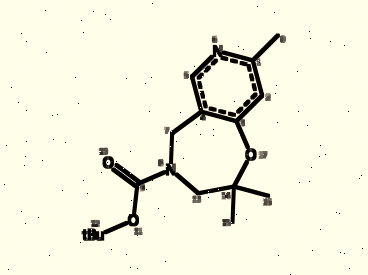 Cc1cc2c(cn1)CN(C(=O)OC(C)(C)C)CC(C)(C)O2